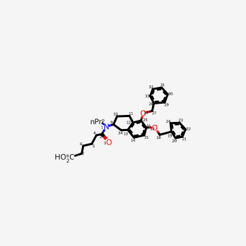 CCCN(C(=O)CCCCC(=O)O)C1CCc2c(ccc(OCc3ccccc3)c2OCc2ccccc2)C1